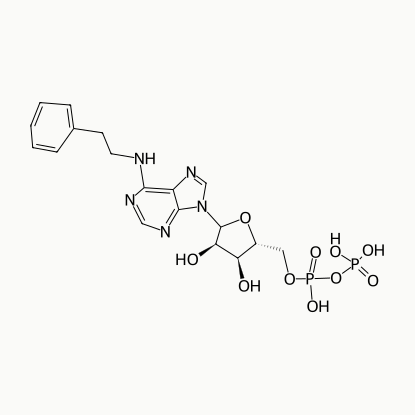 O=P(O)(O)OP(=O)(O)OC[C@H]1OC(n2cnc3c(NCCc4ccccc4)ncnc32)[C@H](O)[C@@H]1O